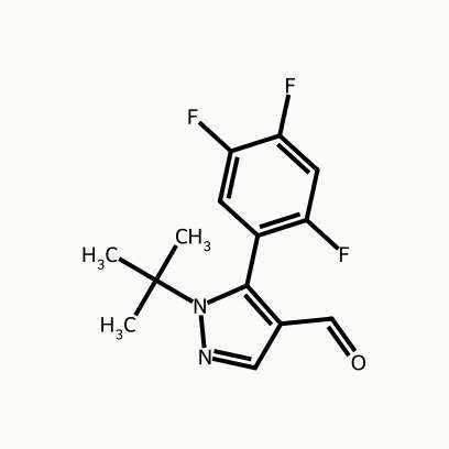 CC(C)(C)n1ncc(C=O)c1-c1cc(F)c(F)cc1F